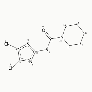 O=C(Sc1nc(Cl)c(Cl)s1)N1CCCCC1